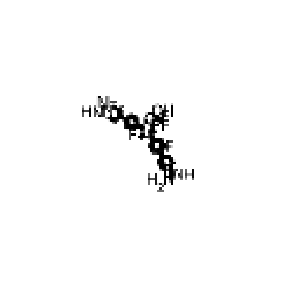 Cn1c(-c2ccc(C3=CCN(C(=N)N)CC3)c(F)c2)nnc1-c1ccc(C2=CCN(C(=N)N)CC2)cc1F.O=C(O)C(F)(F)F